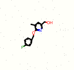 Cc1cc(CO)cnc1OCc1ccc(F)cc1